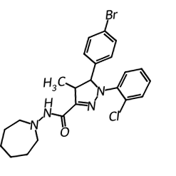 CC1C(C(=O)NN2CCCCCC2)=NN(c2ccccc2Cl)C1c1ccc(Br)cc1